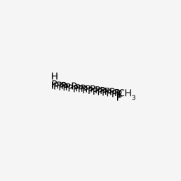 CP(#P)P=PP=PP=PP=PP=PP=PP=PP=PP=PP=PP=PP=PP=PPI